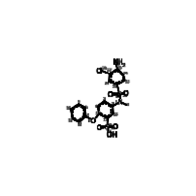 CN(c1ccc(Oc2ccccc2)c(S(=O)(=O)O)c1)S(=O)(=O)c1ccc(N)c(Cl)c1